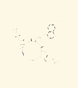 CC[C@@H]1C[C@H](C)CC/C=C\[C@@H]2C[C@@]2(C(=O)NS(=O)(=O)C2CC2)NC(=O)[C@@H]2C[C@@H](Oc3ncnc4cc(OC)ccc34)CN2C(=O)[C@H]1NC(=O)OC(C)(C)C(F)(F)F